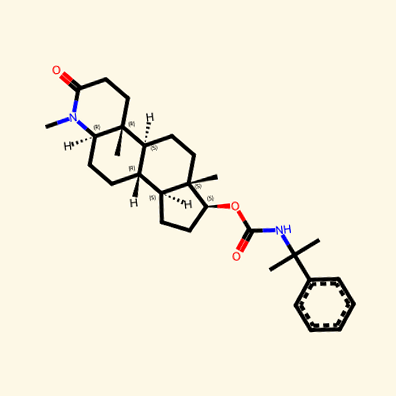 CN1C(=O)CC[C@]2(C)[C@H]3CC[C@]4(C)[C@@H](OC(=O)NC(C)(C)c5ccccc5)CC[C@H]4[C@@H]3CC[C@@H]12